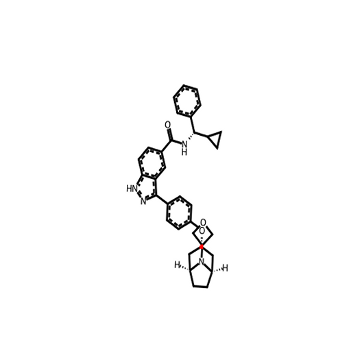 O=C(N[C@H](c1ccccc1)C1CC1)c1ccc2[nH]nc(-c3ccc(O[C@@H]4C[C@H]5CC[C@@H](C4)N5C4COC4)cc3)c2c1